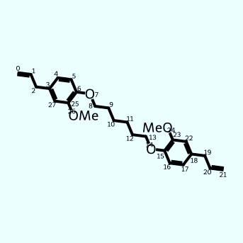 C=CCc1ccc(OCCCCCCOc2ccc(CC=C)cc2OC)c(OC)c1